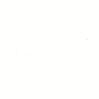 CC(C)(C)OC(=O)N1CCN(c2cnccc2-c2ccc(CNC(=O)c3nc(C(C)(C)C)no3)c(C(F)F)c2)CC1